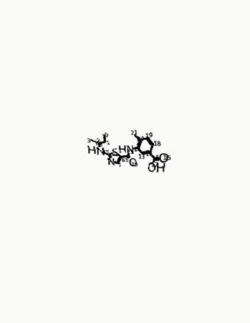 CC[C@H](C)Nc1ncc(C(=O)Nc2cc(C(=O)O)ccc2C)s1